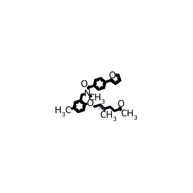 CC(=O)CC/C(C)=C/COc1ccc(C)cc1CN(C)C(=O)c1ccc(-c2ccco2)cc1